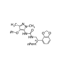 CCCCC[C@@H](CNC(=O)Nc1c(OC(C)C)c(C)nn1C)c1cccc2c1OCO2